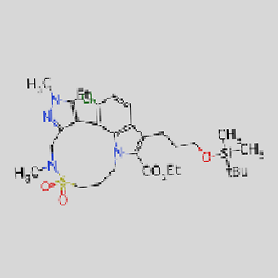 CCOC(=O)c1c(CCCO[Si](C)(C)C(C)(C)C)c2ccc(Cl)c3c2n1CCCS(=O)(=O)N(C)Cc1nn(C)c(CC)c1-3